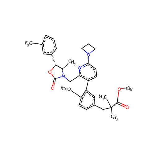 COc1ccc(CC(C)(C)C(=O)OC(C)(C)C)cc1-c1ccc(N2CCC2)nc1CN1C(=O)O[C@H](c2cccc(C(F)(F)F)c2)C1C